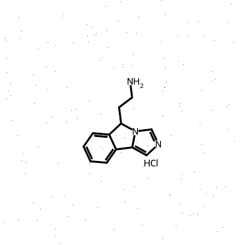 Cl.NCCC1c2ccccc2-c2cncn21